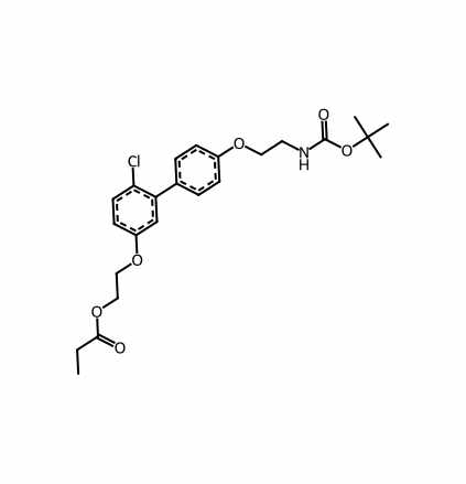 CCC(=O)OCCOc1ccc(Cl)c(-c2ccc(OCCNC(=O)OC(C)(C)C)cc2)c1